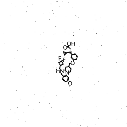 COc1ccc(CNCC2CC(F)(F)C2)c(N2CCC(COc3cccc([C@@H](CC(=O)O)C4CC4)c3)CC2)c1